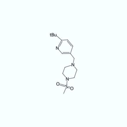 CC(C)(C)c1ccc(CN2CCN(S(C)(=O)=O)CC2)cn1